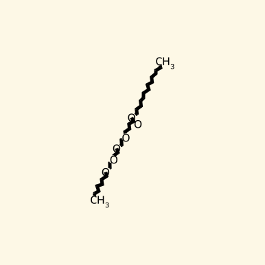 CCCCCCCCCCCCCCOC(=O)CCCOCCOCCOCCOCCCCCCC